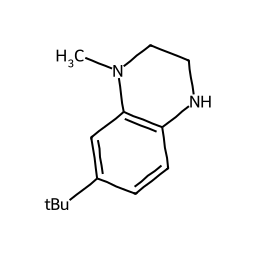 CN1CCNc2ccc(C(C)(C)C)cc21